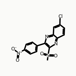 CS(=O)(=O)c1nc2ccc(Cl)cc2nc1-c1ccc([N+](=O)[O-])cc1